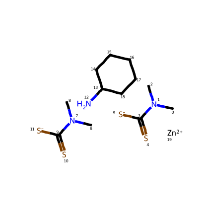 CN(C)C(=S)[S-].CN(C)C(=S)[S-].NC1CCCCC1.[Zn+2]